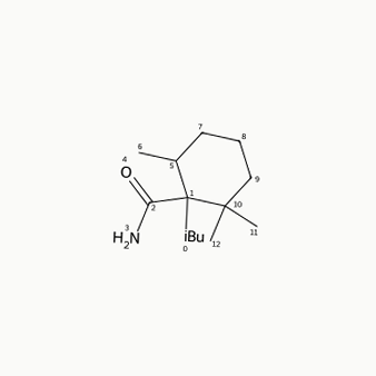 CCC(C)C1(C(N)=O)C(C)CCCC1(C)C